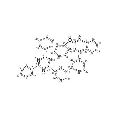 c1ccc(-c2nc(-c3ccccc3)nc(-c3cccc(-c4cccc(-c5c6ccccc6nc6oc7ccccc7c56)c4)c3)n2)cc1